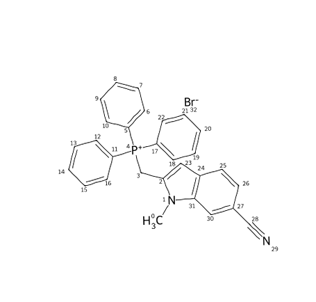 Cn1c(C[P+](c2ccccc2)(c2ccccc2)c2ccccc2)cc2ccc(C#N)cc21.[Br-]